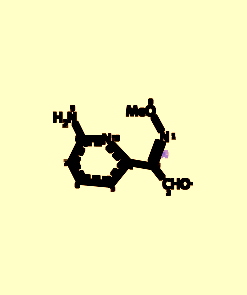 CO/N=C(/[C]=O)c1cccc(N)n1